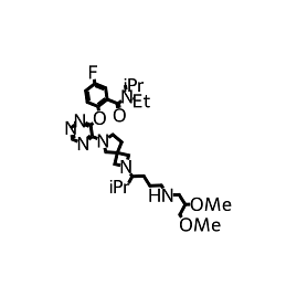 CCN(C(=O)c1cc(F)ccc1Oc1nncnc1N1CCC2(C1)CN(C(CCCNCC(COC)OC)C(C)C)C2)C(C)C